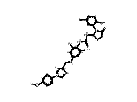 Cc1ccc(C(C)C)c(N2C(=O)CSC2NC(=O)Nc2c(F)cc(OCc3ncn(-c4ccc(OC(F)(F)F)cc4)n3)cc2F)c1